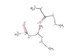 CCOC(=O)CC.COCC(C)OC(C)=O